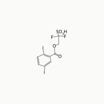 O=C(OCC(F)(F)S(=O)(=O)O)c1cc(I)ccc1I